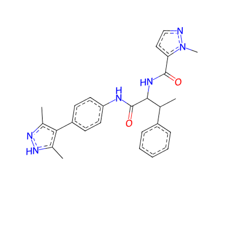 Cc1n[nH]c(C)c1-c1ccc(NC(=O)C(NC(=O)c2ccnn2C)C(C)c2ccccc2)cc1